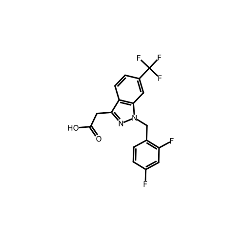 O=C(O)Cc1nn(Cc2ccc(F)cc2F)c2cc(C(F)(F)F)ccc12